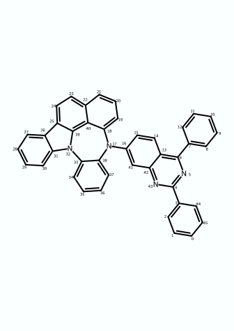 c1ccc(-c2nc(-c3ccccc3)c3ccc(-n4c5cccc6ccc7c8ccccc8n(c8ccccc84)c7c65)cc3n2)cc1